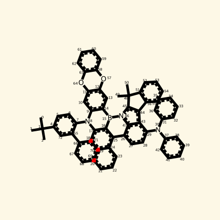 CC(C)(C)c1ccc(N2c3cc4c(cc3B3c5c2cc2ccccc2c5-c2ccc(N(c5ccccc5)c5ccccc5)c5c6c(n3c25)C(C)(C)c2ccccc2-6)Oc2ccccc2O4)c(-c2ccccc2)c1